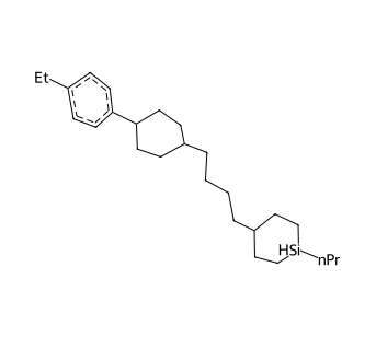 CCC[SiH]1CCC(CCCCC2CCC(c3ccc(CC)cc3)CC2)CC1